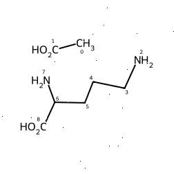 CC(=O)O.NCCCC(N)C(=O)O